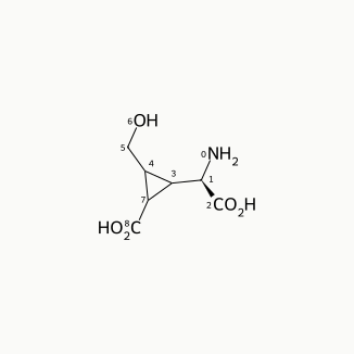 N[C@@H](C(=O)O)C1C(CO)C1C(=O)O